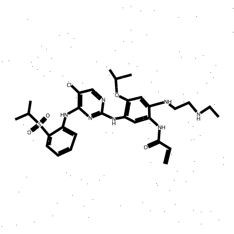 C=CC(=O)Nc1cc(Nc2ncc(Cl)c(Nc3ccccc3S(=O)(=O)C(C)C)n2)c(OC(C)C)cc1NCCNCC